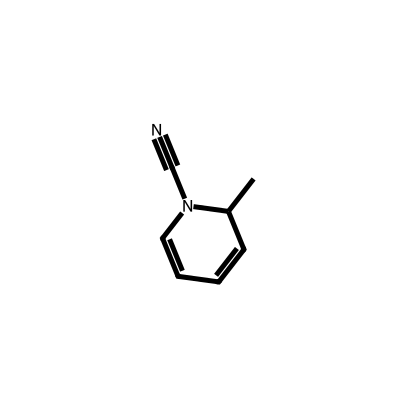 CC1C=CC=CN1C#N